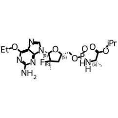 CCOc1nc(N)nc2c1ncn2[C@@H]1O[C@H](CO[PH](=O)N[C@@H](C)C(=O)OC(C)C)C[C@@]1(C)F